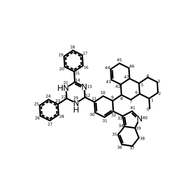 CC1CCCC2C1CC(C1CC(C3N=C(c4ccccc4)NC(c4ccccc4)N3)=CC=C1C1=C3C=CCCC3N=C1)C1C=CCCC12